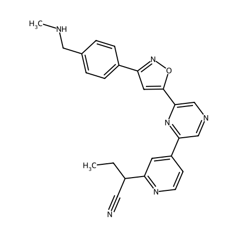 CCC(C#N)c1cc(-c2cncc(-c3cc(-c4ccc(CNC)cc4)no3)n2)ccn1